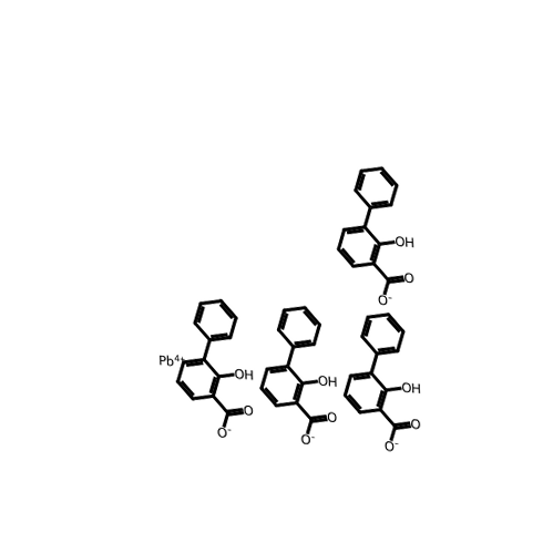 O=C([O-])c1cccc(-c2ccccc2)c1O.O=C([O-])c1cccc(-c2ccccc2)c1O.O=C([O-])c1cccc(-c2ccccc2)c1O.O=C([O-])c1cccc(-c2ccccc2)c1O.[Pb+4]